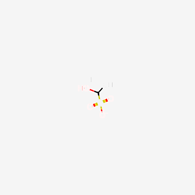 CC(O)S(=O)(=O)[O-].[Li+]